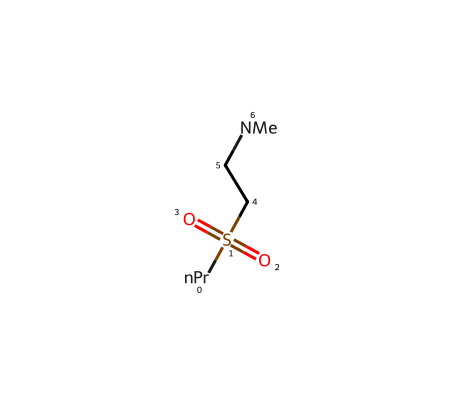 CCCS(=O)(=O)CCNC